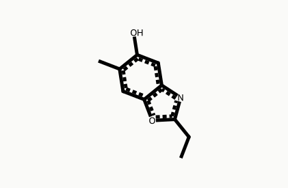 CCc1nc2cc(O)c(C)cc2o1